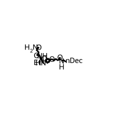 CCCCCCCCCCCCNC(=O)CCCOc1ccc(NN(CC)C(=O)CNC(=O)CCC(N)=O)cc1